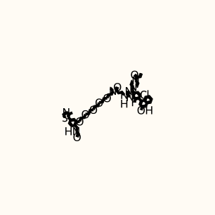 C=CC(=O)N1CCN(c2nc(NCCC(=O)N(C)CCOCCOCCOCCOCCOc3cc(-c4scnc4C)ccc3CNC=O)nc3c(F)c(-c4cc(O)cc5ccccc45)c(Cl)cc23)CC1